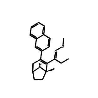 CCC(=NOC)C1=C(c2ccc3ccccc3c2)CC2CC[C@@H]1N2